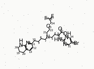 O=C(O)[C@H](CCN(CCCCc1ccc2c(n1)NCCC2)CCOCC(F)F)Nc1ncc(Br)cn1